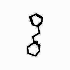 c1ccc(CC[SiH]2CCCCO2)cc1